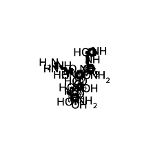 N=C(N)NCC[C@H](O)C(=O)N[C@@H]1C[C@H](N)[C@@H](O[C@H]2OC(CNCC3(O)CCNCC3)=CC[C@H]2N)[C@H](O[C@@H]2O[C@H](CO)[C@@H](O[C@H]3O[C@@H](CN)[C@@H](O)[C@H](O)[C@H]3N)[C@H]2O)[C@H]1O